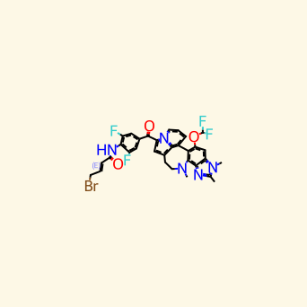 Cc1nc2c3c(c(OC(F)F)cc2n1C)-c1cccn2c(C(=O)c4cc(F)c(NC(=O)/C=C/CBr)c(F)c4)cc(c12)CCN3C